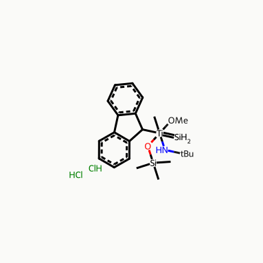 C[O][Ti]([CH3])(=[SiH2])([NH]C(C)(C)C)([O][Si](C)(C)C)[CH]1c2ccccc2-c2ccccc21.Cl.Cl